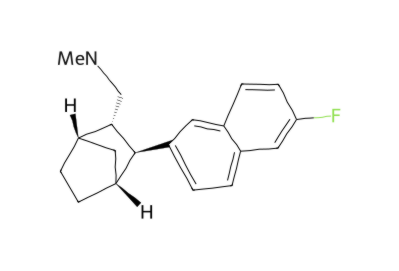 CNC[C@H]1[C@H]2CC[C@H](C2)[C@@H]1c1ccc2cc(F)ccc2c1